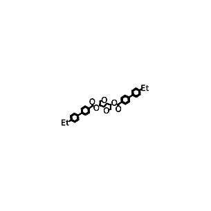 CCc1ccc(-c2ccc(C(=O)OC3COC4C(OC(=O)c5ccc(-c6ccc(CC)cc6)cc5)COC34)cc2)cc1